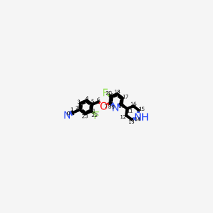 N#Cc1ccc(COc2nc(C3CCNCC3)ccc2F)c(F)c1